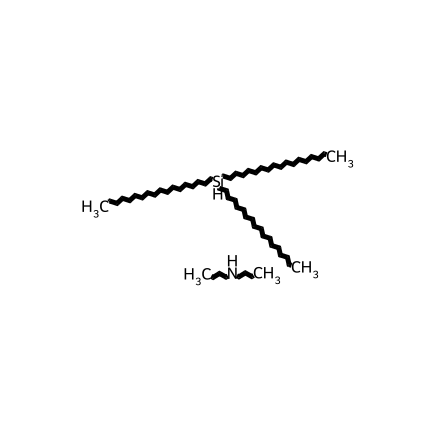 CCCCCCCCCCCCCCCCCC[SiH](CCCCCCCCCCCCCCCCCC)CCCCCCCCCCCCCCCCCC.CCCCNCCCC